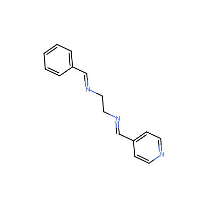 C(=NCCN=Cc1ccncc1)c1ccccc1